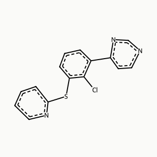 Clc1c(Sc2ccccn2)cccc1-c1ccncn1